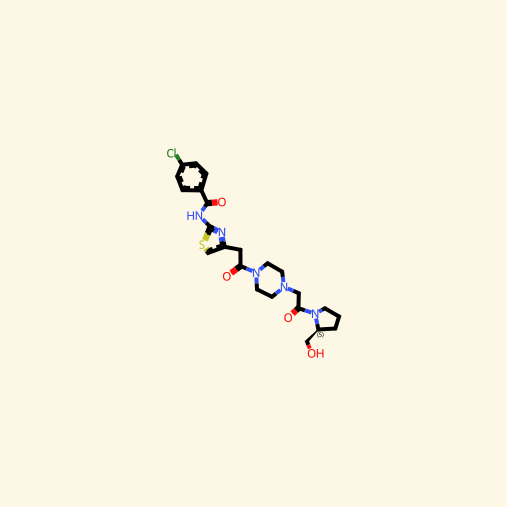 O=C(Nc1nc(CC(=O)N2CCN(CC(=O)N3CCC[C@H]3CO)CC2)cs1)c1ccc(Cl)cc1